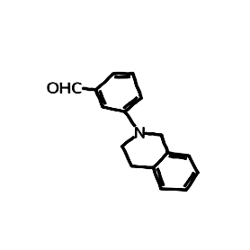 O=Cc1cccc(N2CCc3ccccc3C2)c1